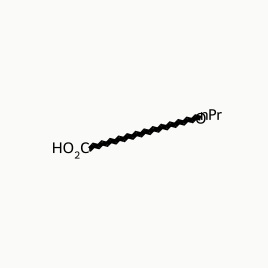 CCCOCCCCCCCCCCCCCCCCCCCCCCCCCCC(=O)O